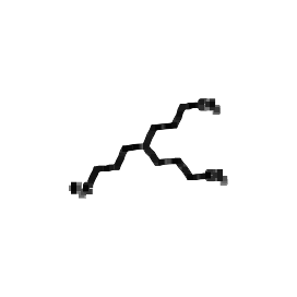 [CH2]CCCC(CCCC)CCCC